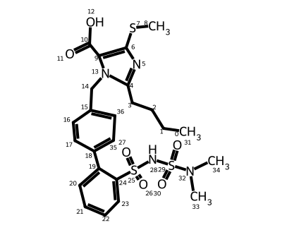 CCCCc1nc(SC)c(C(=O)O)n1Cc1ccc(-c2ccccc2S(=O)(=O)NS(=O)(=O)N(C)C)cc1